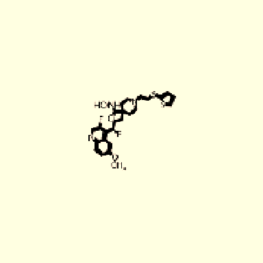 COc1ccc2ncc(F)c([C@H](F)CCC3(C(=O)NO)CCN(CCSc4cccs4)CC3)c2c1